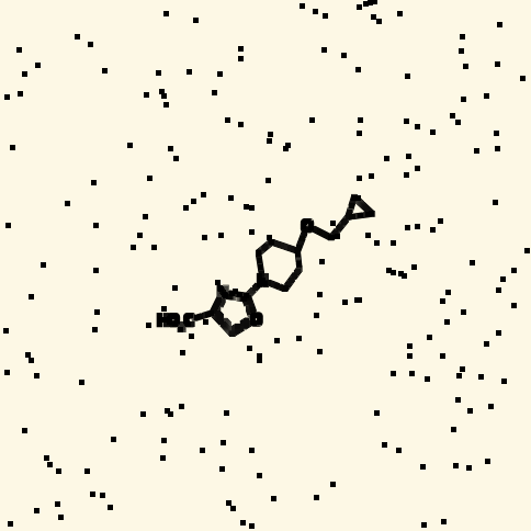 O=C(O)c1coc(N2CCC(OCC3CC3)CC2)n1